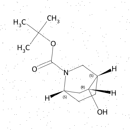 CC(C)(C)OC(=O)N1C[C@@H]2CC[C@H]1C[C@H]2O